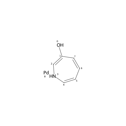 OC1=CNC=CC=C1.[Pd]